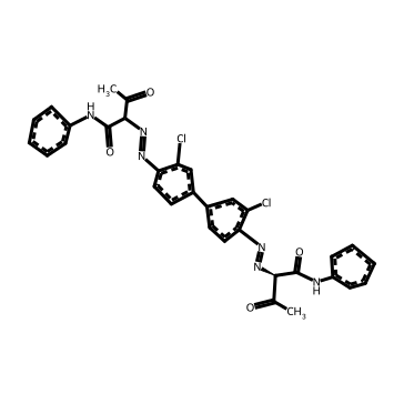 CC(=O)C(N=Nc1ccc(-c2ccc(N=N[C@H](C(C)=O)C(=O)Nc3ccccc3)c(Cl)c2)cc1Cl)C(=O)Nc1ccccc1